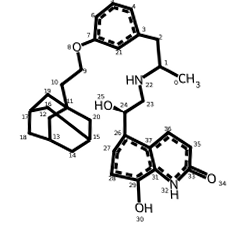 CC(Cc1cccc(OCCC23CC4CC(CC(C4)C2)C3)c1)NC[C@H](O)c1ccc(O)c2[nH]c(=O)ccc12